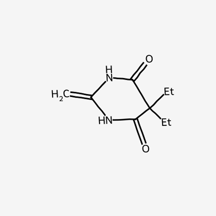 C=C1NC(=O)C(CC)(CC)C(=O)N1